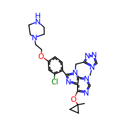 Cn1cnnc1Cn1c(-c2ccc(OCCN3CCNCC3)cc2Cl)nc2c(OC3(C)CC3)ncnc21